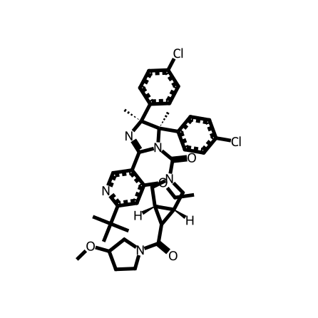 CCOc1cc(C(C)(C)C)ncc1C1=N[C@@](C)(c2ccc(Cl)cc2)[C@@](C)(c2ccc(Cl)cc2)N1C(=O)N1C[C@@H]2C(C(=O)N3CCC(OC)C3)[C@@H]2C1